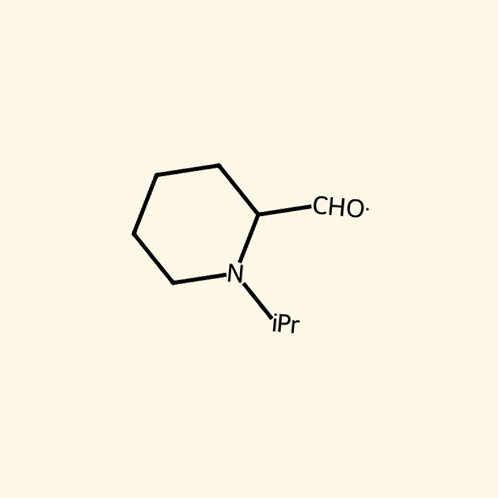 CC(C)N1CCCCC1[C]=O